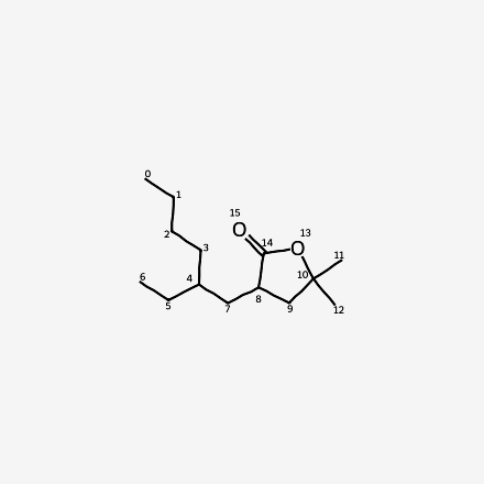 CCCCC(CC)CC1CC(C)(C)OC1=O